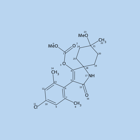 COC(=O)OC1=C(c2c(C)cc(Cl)cc2C)C(=O)NC12CCC(C)(OC)CC2